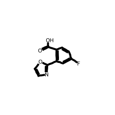 O=C(O)c1ccc(F)cc1-c1ncco1